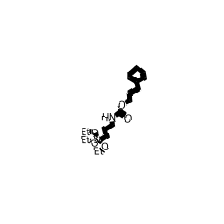 CCO[Si](CCCNC(=O)OCC=Cc1ccccc1)(OCC)OCC